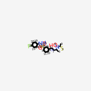 CC(=S)N(O)C(C)/C=C/c1cccc(S(=O)(=O)Nc2ccc(F)cc2)c1